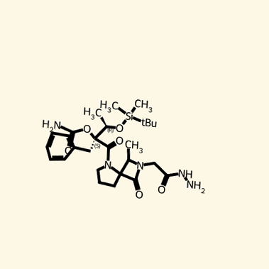 CC1N(CC(=O)NN)C(=O)C12CCCN2C(=O)[C@@](Cc1ccccc1)(OC(N)=O)[C@@H](C)O[Si](C)(C)C(C)(C)C